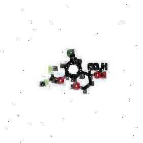 O=C(O)C1(O)CCOc2c(OC(F)F)cc(Cl)cc21